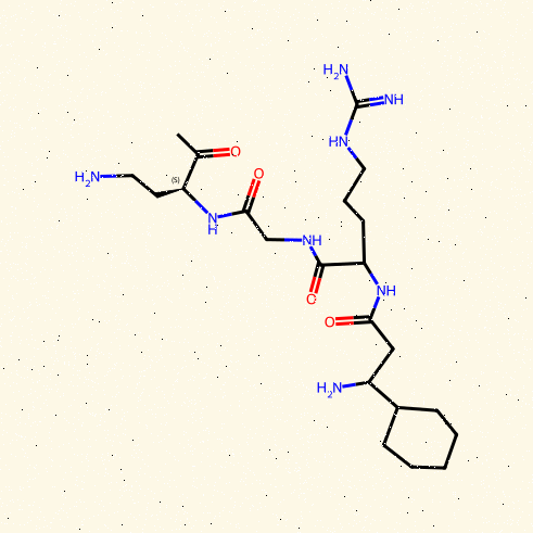 CC(=O)[C@H](CCN)NC(=O)CNC(=O)C(CCCNC(=N)N)NC(=O)CC(N)C1CCCCC1